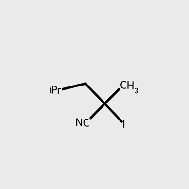 CC(C)CC(C)(I)C#N